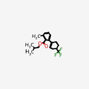 Cc1cccc(C2=CCC(C(F)(F)F)CC2)c1C(=O)OCC(C)C